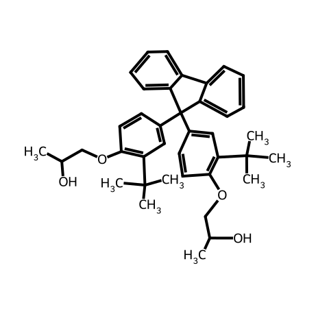 CC(O)COc1ccc(C2(c3ccc(OCC(C)O)c(C(C)(C)C)c3)c3ccccc3-c3ccccc32)cc1C(C)(C)C